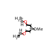 BBOCCB(CCOBB)OC